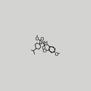 COC(=O)C1(NC(=O)Cc2ccc(OC)cc2Cl)CCC(C(C)C)CC1